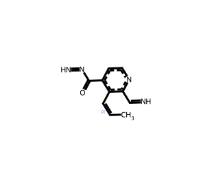 C/C=C\c1c(C(=O)N=N)ccnc1C=N